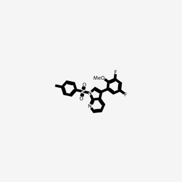 COc1c(F)cc(F)cc1-c1cn(S(=O)(=O)c2ccc(C)cc2)c2ncccc12